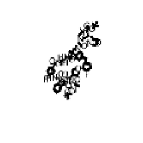 CC1COCCN1C[C@H]1CN(C(=O)OC(C)(C)C)[C@H](C)CN1CC(=O)N1CC(C)(C(=O)NCCNC(=O)c2ccc(F)c(NC(=O)[C@@H]3c4ccccc4CN3C(=O)C(NC(=O)C(C)N(C)C(=O)OC(C)(C)C)C3CCOCC3)c2)c2ccc(Cc3ccc(F)cc3)cc21